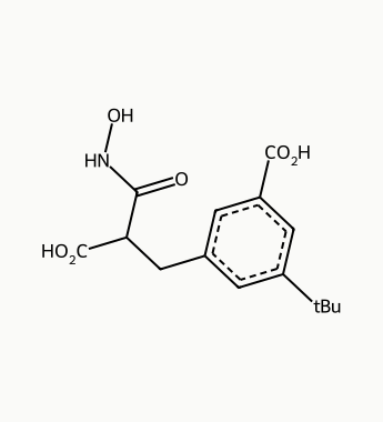 CC(C)(C)c1cc(CC(C(=O)O)C(=O)NO)cc(C(=O)O)c1